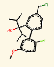 COc1ccc(F)c(-c2ccc(CCl)cc2C(O)(C(C)C)C(C)C)c1